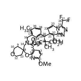 COc1ccc2c(n1)OC1(CCOCC1)CN(Cc1cc([C@@H](c3ccn4c(C(F)F)nnc4c3C)C(C)(C)C(=O)O)ccc1C)S2(=O)=O